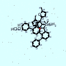 Cc1ccc(C2=Cc3c(-c4ccccc4)cccc3[CH]2[Zr]([CH3])([CH3])(=[SiH2])[CH]2C(c3ccc(C)o3)=Cc3c(-c4ccccc4)cccc32)o1.Cl.Cl